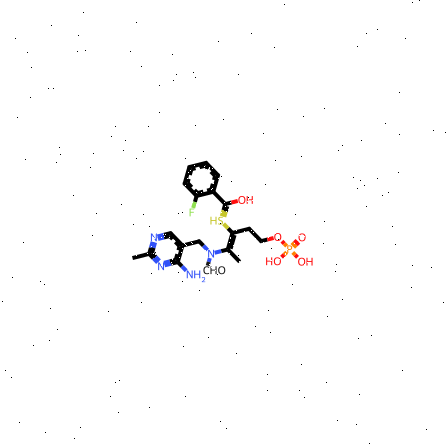 C/C(=C(CCOP(=O)(O)O)/[SH]=C(\O)c1ccccc1F)N(C=O)Cc1cnc(C)nc1N